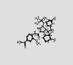 COc1cc(C(N)=O)ccc1NC(=O)[C@@H]1N[C@@H](CC(C)(C)C)[C@@]2(C(=O)Nc3nc(Cl)ccc32)[C@H]1c1cccc(Cl)c1F